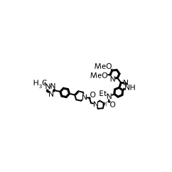 CCN(C(=O)[C@@H]1CCN(CC(=O)N2CC=C(c3ccc(-c4ncn(C)n4)cc3)CC2)C1)c1ccc2[nH]nc(-c3ccc(OC)c(OC)n3)c2c1